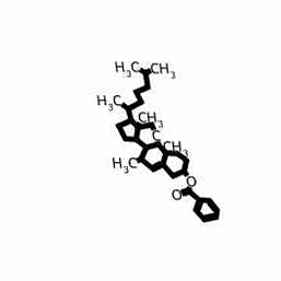 CC(C)CCCC(C)C1CCC2C3C(C)C=C4CC(OC(=O)c5ccccc5)CCC4(C)C3CCC12C